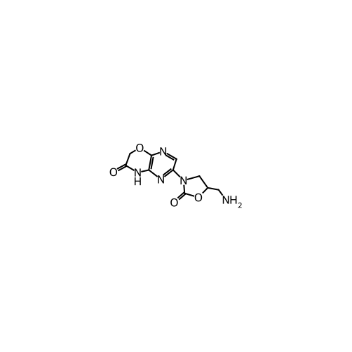 NCC1CN(c2cnc3c(n2)NC(=O)CO3)C(=O)O1